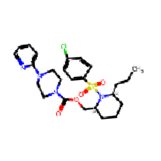 CCC[C@H]1CCC[C@@H](COC(=O)N2CCN(c3ccccn3)CC2)N1S(=O)(=O)c1ccc(Cl)cc1